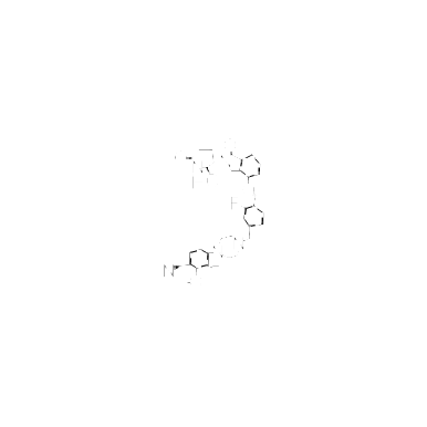 COc1c(C#N)ccc(N2CCN(Cc3ccc(COc4cccc5c4CN([C@H]4CCC(=O)NC4=O)C5=O)c(F)c3)CC2)c1F